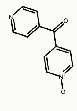 O=C(c1ccncc1)c1cc[n+]([O-])cc1